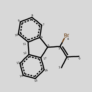 CC(C)=C(Br)C1c2ccccc2-c2ccccc21